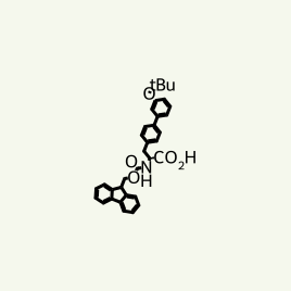 CC(C)(C)Oc1cccc(-c2ccc(C[C@H](NC(=O)OCC3c4ccccc4-c4ccccc43)C(=O)O)cc2)c1